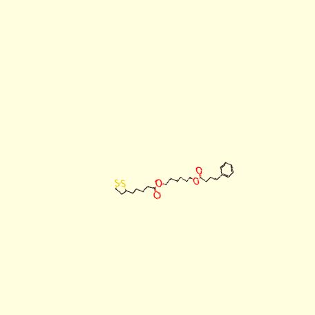 O=C(CCCCC1CCSS1)OCCCCCCOC(=O)CCCc1ccccc1